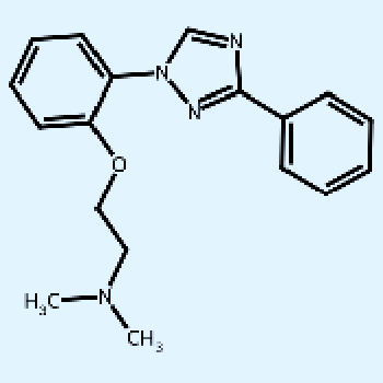 CN(C)CCOc1ccccc1-n1cnc(-c2ccccc2)n1